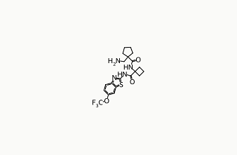 NCC1(C(=O)NC2(C(=O)Nc3nc4ccc(OC(F)(F)F)cc4s3)CCC2)CCCC1